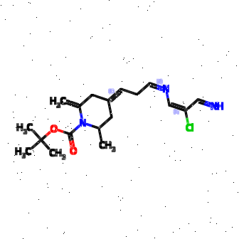 C=C1C/C(=C/C/C=N\C=C(\Cl)C=N)CC(C)N1C(=O)OC(C)(C)C